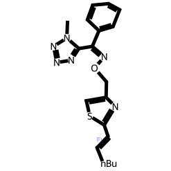 CCCC/C=C/c1nc(CON=C(c2ccccc2)c2nnnn2C)cs1